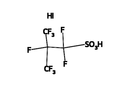 I.O=S(=O)(O)C(F)(F)C(F)(C(F)(F)F)C(F)(F)F